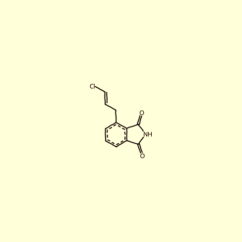 O=C1NC(=O)c2c(CC=CCl)cccc21